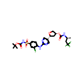 C[C@@H](CC(F)(F)F)NC(=O)O[C@H]1CO[C@@H](c2cnc(Nc3ccc(S(=O)(=O)NC(=O)OC(C)(C)C)cc3F)nc2)C1